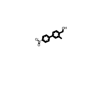 Cc1cc(-c2ccc([N+](=O)[O-])cc2)ccc1CO